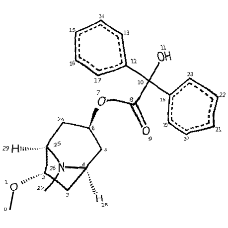 CO[C@H]1C[C@@H]2C[C@H](OC(=O)C(O)(c3ccccc3)c3ccccc3)C[C@H]1N2C